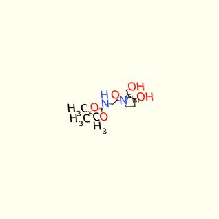 CC(C)(C)OC(=O)NCC(=O)N1CC[C@H](O)[C@@H]1CO